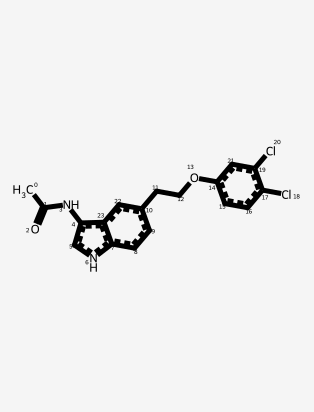 CC(=O)Nc1c[nH]c2ccc(CCOc3ccc(Cl)c(Cl)c3)cc12